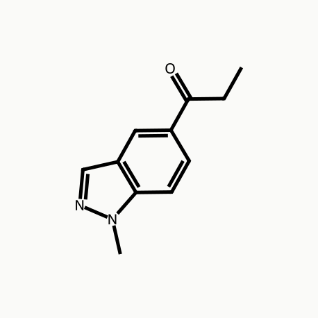 CCC(=O)c1ccc2c(cnn2C)c1